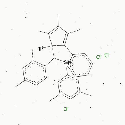 CC1=C(C)[C]([Ti+3])(C([SiH2]c2cc(C)cc(C)c2)c2ccc(C)cc2C)C(c2ccccc2)=C1C.[Cl-].[Cl-].[Cl-]